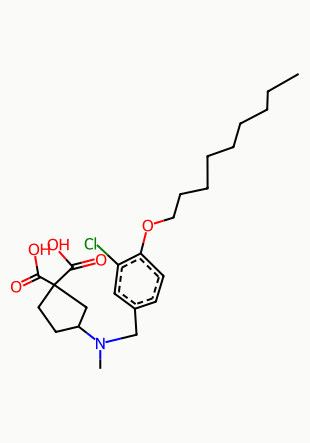 CCCCCCCCCOc1ccc(CN(C)C2CCC(C(=O)O)(C(=O)O)C2)cc1Cl